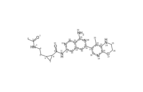 CC(=O)NCCC1CC1C(=O)Nc1cc2cc(-c3cnc4c(c3C)NCCO4)nc(N)c2cn1